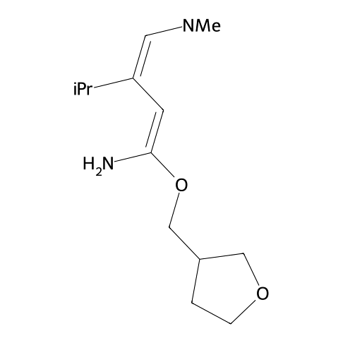 CN/C=C(\C=C(/N)OCC1CCOC1)C(C)C